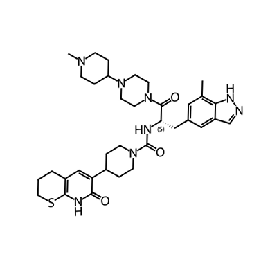 Cc1cc(C[C@H](NC(=O)N2CCC(c3cc4c([nH]c3=O)SCCC4)CC2)C(=O)N2CCN(C3CCN(C)CC3)CC2)cc2cn[nH]c12